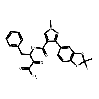 Cn1cc(C(=O)NC(Cc2ccccc2)C(=O)C(N)=O)c(-c2ccc3c(c2)OC(F)(F)O3)n1